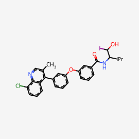 Cc1cnc2c(Cl)cccc2c1-c1cccc(Oc2cccc(C(=O)NC(C(C)C)C(O)I)c2)c1